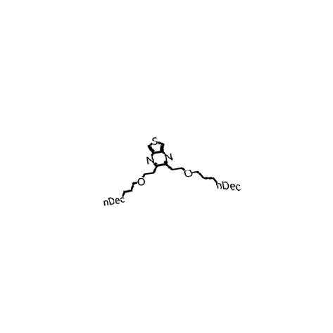 CCCCCCCCCCCCCOCCc1nc2cscc2nc1CCOCCCCCCCCCCCCC